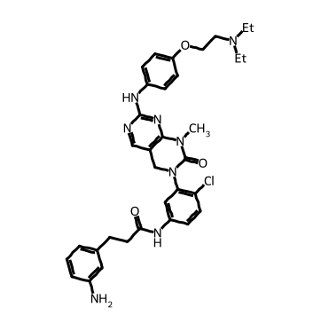 CCN(CC)CCOc1ccc(Nc2ncc3c(n2)N(C)C(=O)N(c2cc(NC(=O)CCc4cccc(N)c4)ccc2Cl)C3)cc1